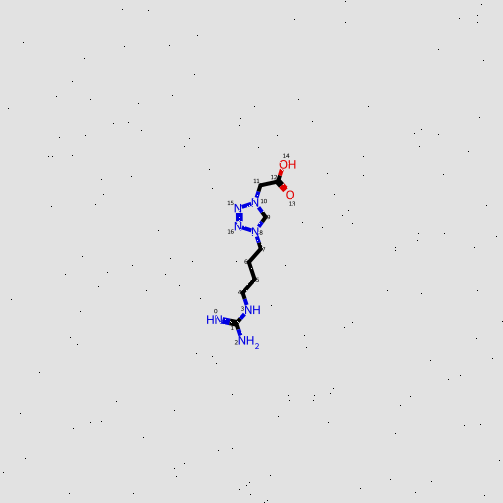 N=C(N)NCCCCN1CN(CC(=O)O)N=N1